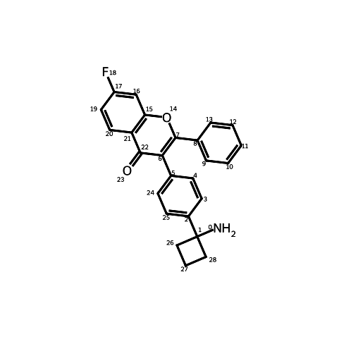 NC1(c2ccc(-c3c(-c4ccccc4)oc4cc(F)ccc4c3=O)cc2)CCC1